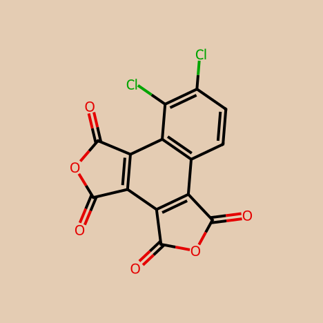 O=c1oc(=O)c2c1c1ccc(Cl)c(Cl)c1c1c(=O)oc(=O)c12